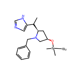 CC(c1cnc[nH]1)[C@H]1C[C@@H](O[Si](C)(C)C(C)(C)C)CN1Cc1ccccc1